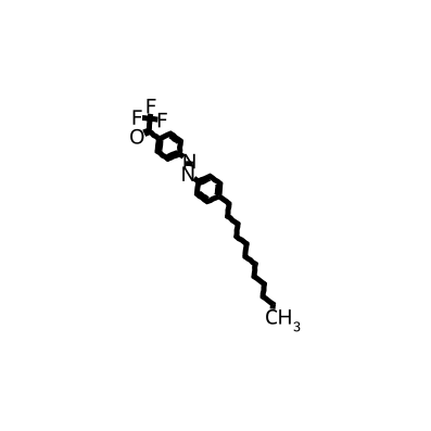 CCCCCCCCCCCCc1ccc(N=Nc2ccc(C(=O)C(F)(F)F)cc2)cc1